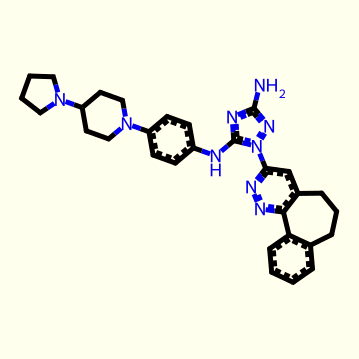 Nc1nc(Nc2ccc(N3CCC(N4CCCC4)CC3)cc2)n(-c2cc3c(nn2)-c2ccccc2CCC3)n1